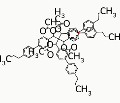 CCCc1ccc(-c2ccc(C(OC(C)=O)C(C(OC(C)=O)c3ccc(-c4ccc(CCC)cc4)cc3)(C(OC(C)=O)c3ccc(-c4ccc(CCC)cc4)cc3)C(OC(C)=O)c3ccc(-c4ccc(CCC)cc4)cc3)cc2)cc1